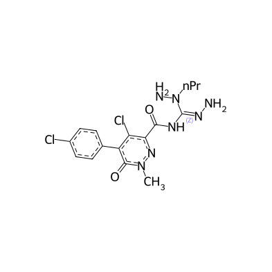 CCCN(N)/C(=N\N)NC(=O)c1nn(C)c(=O)c(-c2ccc(Cl)cc2)c1Cl